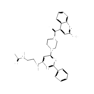 CC(=O)NCCNc1cc(N2CCN(C(=O)c3cc(O)nc4ccccc34)CC2)nc(-c2ccccc2)n1